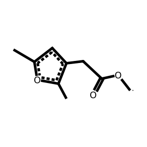 [CH2]OC(=O)Cc1cc(C)oc1C